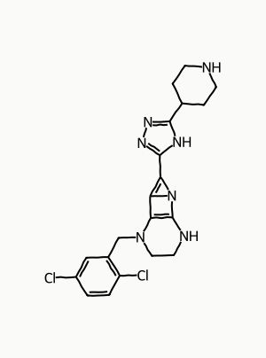 Clc1ccc(Cl)c(CN2CCNc3c2c2c(-c4nnc(C5CCNCC5)[nH]4)n3-2)c1